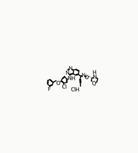 CC#C/C(=N\OC[C@H]1COCCN1)c1ccc2ncnc(Nc3ccc(OCc4cccc(F)c4)c(Cl)c3)c2c1.Cl